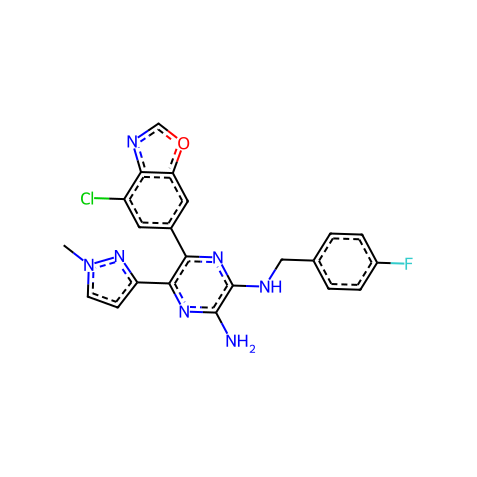 Cn1ccc(-c2nc(N)c(NCc3ccc(F)cc3)nc2-c2cc(Cl)c3ncoc3c2)n1